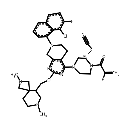 C=C(F)C(=O)N1CCN(c2nc(OCC3CN(C)CCC34CN(C)C4)nc3c2CCN(c2cccc4ccc(F)c(Cl)c24)C3)C[C@@H]1CC#N